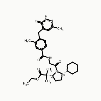 CCOC(=O)C(C)(C)[C@H]1CC[C@@H](C2CCCCC2)N1C(=O)CNC(=O)c1ccc(Cc2cc(C)n[nH]c2=O)c(C)c1